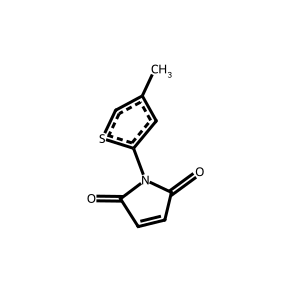 Cc1csc(N2C(=O)C=CC2=O)c1